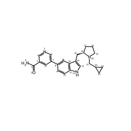 NC(=O)c1cncc(-c2ccc3[nH]cc(C[C@H]4CCCN4CC4CC4)c3c2)c1